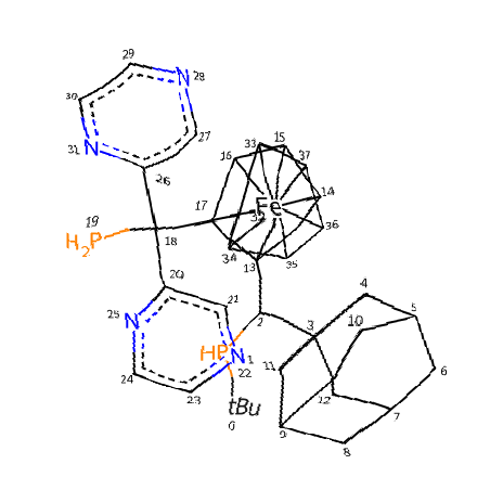 CC(C)(C)PC(C12CC3CC(CC(C3)C1)C2)[C]12[CH]3[CH]4[CH]5[C]1(C(P)(c1cnccn1)c1cnccn1)[Fe]43521678[CH]2[CH]1[CH]6[CH]7[CH]28